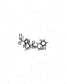 NC(=O)c1cnn2c(C(=O)NC3CNc4ccccc4C3)ccnc12